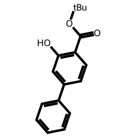 CC(C)(C)OC(=O)c1ccc(-c2ccccc2)cc1O